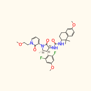 COCCn1cccc(N2C(=O)[C@@H](NC(=O)NC3CCc4cc(OC)ccc4C3(C)C)[C@H](c3c(F)cc(OC)cc3F)[C@@H]2C)c1=O